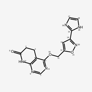 O=C1CCc2c(ncnc2OCc2cc(-c3ncc[nH]3)no2)N1